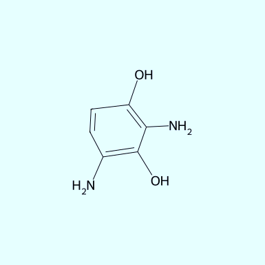 Nc1ccc(O)c(N)c1O